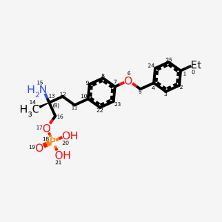 CCc1ccc(COc2ccc(CC[C@@](C)(N)COP(=O)(O)O)cc2)cc1